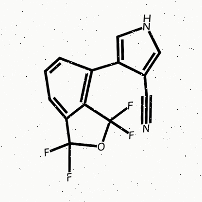 N#Cc1c[nH]cc1-c1cccc2c1C(F)(F)OC2(F)F